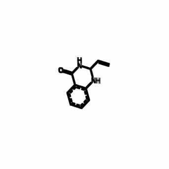 C=CC1NC(=O)c2ccccc2N1